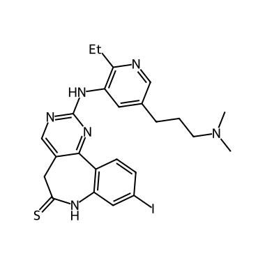 CCc1ncc(CCCN(C)C)cc1Nc1ncc2c(n1)-c1ccc(I)cc1NC(=S)C2